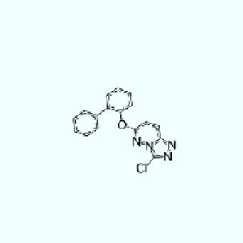 Clc1nnc2ccc(Oc3ccccc3-c3ccccc3)nn12